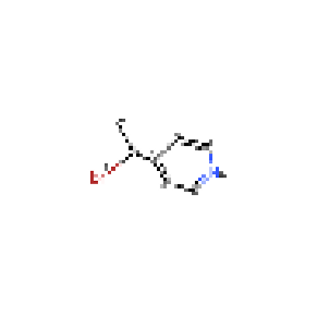 CC(Br)c1ccncc1